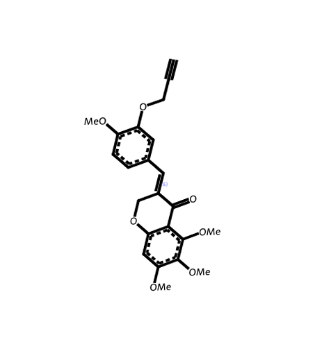 C#CCOc1cc(/C=C2\COc3cc(OC)c(OC)c(OC)c3C2=O)ccc1OC